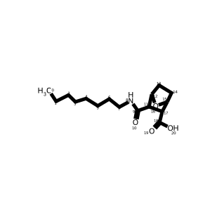 CCCCCCCCNC(=O)C1C2CCC(O2)C1C(=O)O